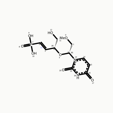 COC[C@@H](O[C@H](/C=C/P(=O)(O)O)CO)n1ccc(=O)[nH]c1=O